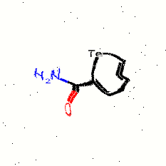 NC(=O)c1ccc[te]1